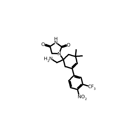 CC1(C)C=C(c2ccc([N+](=O)[O-])c(C(F)(F)F)c2)CC(CN)(N2CC(=O)NC2=O)C1